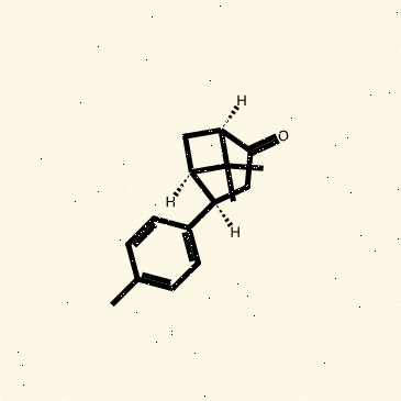 Cc1ccc([C@@H]2CC(=O)[C@@H]3C[C@H]2C3(C)C)cc1